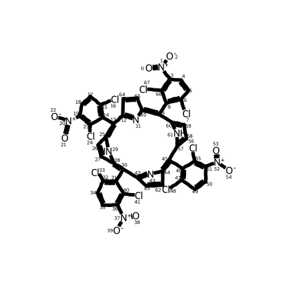 O=[N+]([O-])c1ccc(Cl)c(-c2c3nc(c(-c4c(Cl)ccc([N+](=O)[O-])c4Cl)c4ccc([nH]4)c(-c4c(Cl)ccc([N+](=O)[O-])c4Cl)c4nc(c(-c5c(Cl)ccc([N+](=O)[O-])c5Cl)c5ccc2[nH]5)C=C4)C=C3)c1Cl